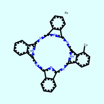 [Cu][c]1cccc2c3nc4nc(nc5[nH]c(nc6nc(nc([nH]3)c12)-c1ccccc1-6)c1ccccc51)-c1ccccc1-4.[Fe]